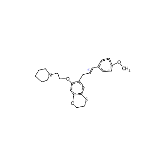 COc1ccc(/C=C/Cc2cc3c(cc2OCCN2CCCCC2)OCCS3)cc1